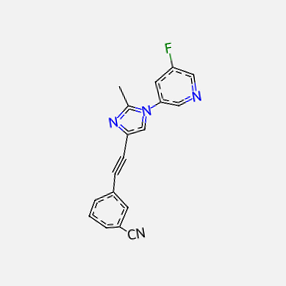 Cc1nc(C#Cc2cccc(C#N)c2)cn1-c1cncc(F)c1